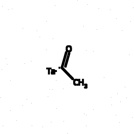 C[C]=O.[Ta]